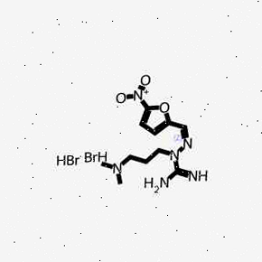 Br.Br.CN(C)CCCN(/N=C\c1ccc([N+](=O)[O-])o1)C(=N)N